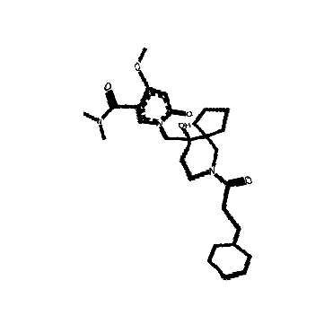 COc1cc(=O)n(CC2(O)CCN(C(=O)CCC3CCCCC3)CC23CCCC3)cc1C(=O)N(C)C